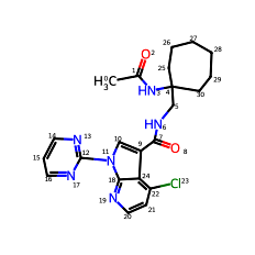 CC(=O)NC1(CNC(=O)c2cn(-c3ncccn3)c3nccc(Cl)c23)CCCCCC1